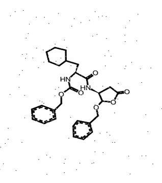 O=C1C[C@H](NC(=O)[C@H](CC2CCCCC2)NC(=O)OCc2ccccc2)C(OCc2ccccc2)O1